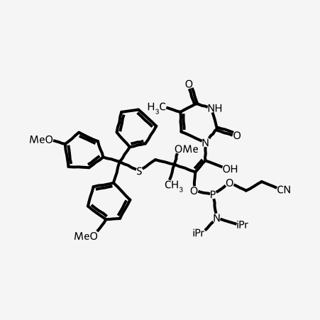 COc1ccc(C(SCC(C)(OC)/C(OP(OCCC#N)N(C(C)C)C(C)C)=C(/O)n2cc(C)c(=O)[nH]c2=O)(c2ccccc2)c2ccc(OC)cc2)cc1